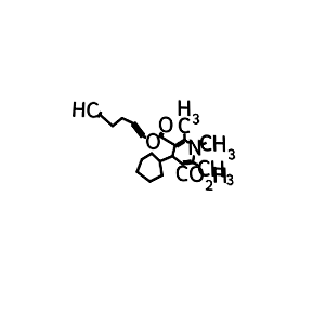 C#CCCC#COC(=O)C1=C(C)N(C)C(C)=C(C(=O)O)C1C1CCCCC1